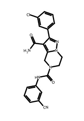 N#Cc1cccc(NC(=O)N2CCn3nc(-c4cccc(Cl)c4)c(C(N)=O)c3C2)c1